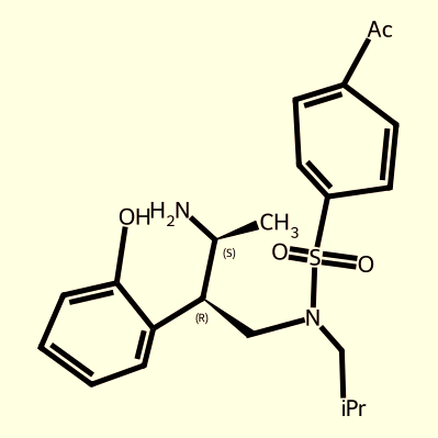 CC(=O)c1ccc(S(=O)(=O)N(CC(C)C)C[C@@H](c2ccccc2O)[C@H](C)N)cc1